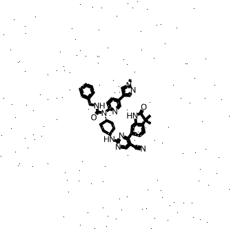 Cn1cc(-c2ccc(N(C(=O)NCc3ccccc3)[C@H]3CC[C@H](Nc4ncc(C#N)c(-c5ccc6c(c5)NC(=O)C6(C)C)n4)CC3)nc2)cn1